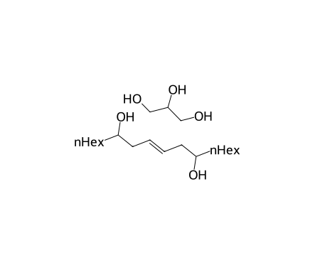 CCCCCCC(O)C/C=C/CC(O)CCCCCC.OCC(O)CO